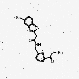 CC(C)(C)OC(=O)c1cccc(CNC(=O)Cc2nc3ccc(Br)cc3s2)c1